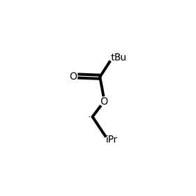 CC(C)[CH]OC(=O)C(C)(C)C